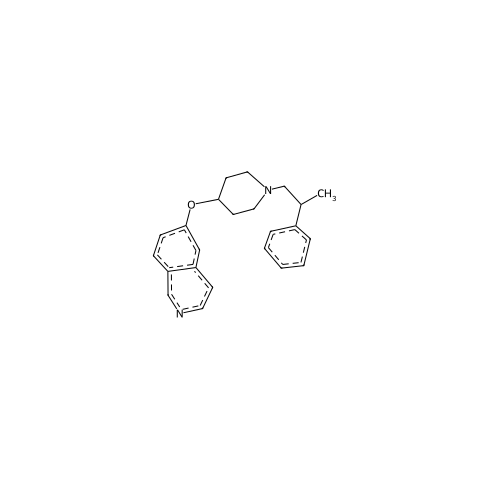 CC(CN1CCC(Oc2ccc3cnccc3c2)CC1)c1ccccc1